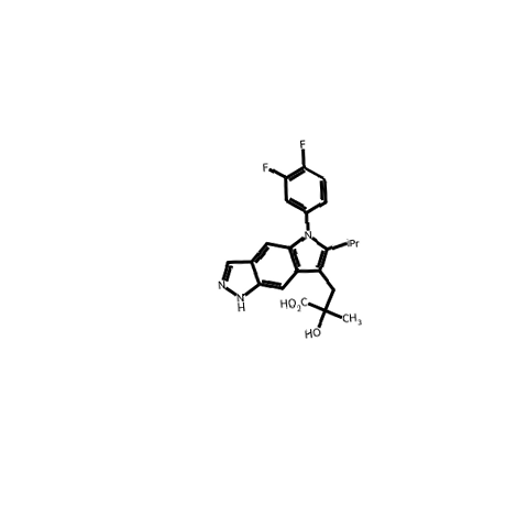 CC(C)c1c(CC(C)(O)C(=O)O)c2cc3[nH]ncc3cc2n1-c1ccc(F)c(F)c1